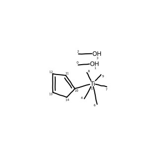 CO.CO.[CH3][Ti]([CH3])([CH3])([CH3])([CH3])[C]1=CC=CC1